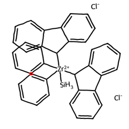 [Cl-].[Cl-].[SiH3][Zr+2]([c]1ccccc1)([c]1ccccc1)([CH]1c2ccccc2-c2ccccc21)[CH]1c2ccccc2-c2ccccc21